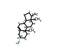 CC(=O)C1CCC2C3CC=C4C[C@@H](F)CCC4(C)C3CCC12C